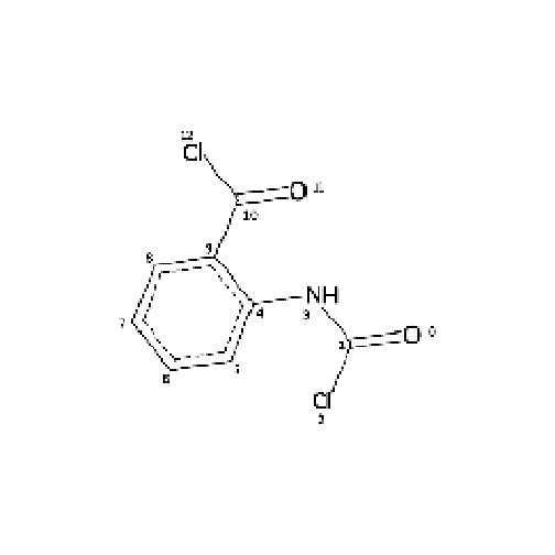 O=C(Cl)Nc1ccccc1C(=O)Cl